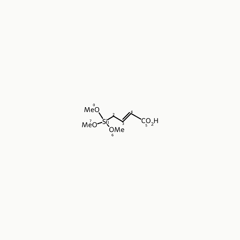 CO[Si](CC=CC(=O)O)(OC)OC